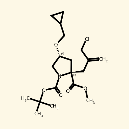 C=C(CCl)C[C@]1(C(=O)OC)C[C@@H](OCC2CC2)CN1C(=O)OC(C)(C)C